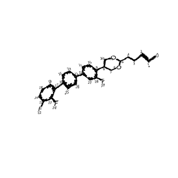 C/C=C/CCC1OCC(c2ccc(-c3ccc(-c4cccc(F)c4F)cc3)cc2F)CO1